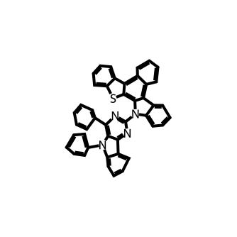 c1ccc(-c2nc(-n3c4ccccc4c4c5ccccc5c5c6ccccc6sc5c43)nc3c4ccccc4n(-c4ccccc4)c23)cc1